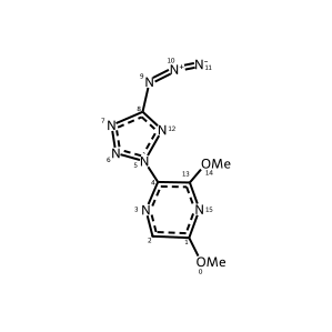 COc1cnc(-n2nnc(N=[N+]=[N-])n2)c(OC)n1